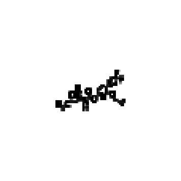 CC(C)CC(C#N)NC(=O)Oc1ccc(N2CC(F)(F)C2)c(OCC2CC2)n1